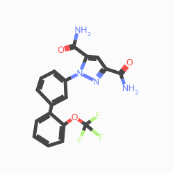 NC(=O)c1cc(C(N)=O)n(-c2cccc(-c3ccccc3OC(F)(F)F)c2)n1